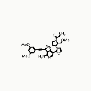 C=CC(=O)N1C[C@@H](n2nc(C#Cc3cc(OC)cc(OC)c3)c3c(N)ncc(-c4ncco4)c32)C[C@@H]1COC